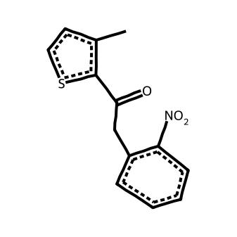 Cc1ccsc1C(=O)Cc1ccccc1[N+](=O)[O-]